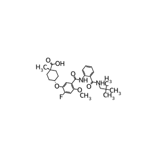 COc1cc(F)c(O[C@H]2CC[C@@](C)(C(=O)O)CC2)cc1C(=O)Nc1ccccc1C(=O)NCC(C)(C)C